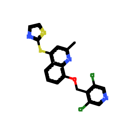 Cc1cc(Sc2nccs2)c2cccc(OCc3c(Cl)cncc3Cl)c2n1